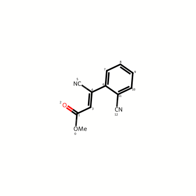 COC(=O)C=C(C#N)c1ccccc1C#N